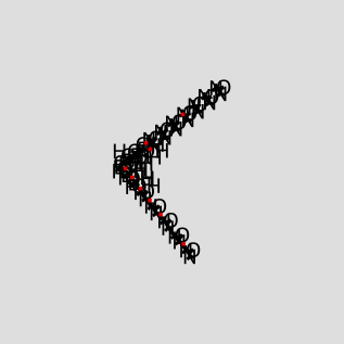 CN(C)C(=O)N(C)C.CN(C)C(=O)N(C)C.CN(C)C(=O)N(C)C.CN(C)C(=O)N(C)C.CN(C)C(=O)N(C)C.CN(C)C(=O)N(C)C.CN(C)C(=O)N(C)C.CN(C)C(=O)N(C)C.CN(C)C(=O)N(C)C.CN(C)C(=O)N(C)C.CN(C)C(=O)N(C)C.CN(C)C(=O)N(C)C.OB(O)F.OB(O)F.OB(O)F.OB(O)F.OB(O)F.OB(O)F